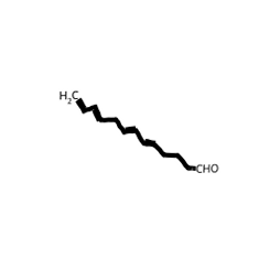 C=CC=CCC=CC=CCCCC=O